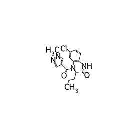 CCCC1C(=O)Nc2ccc(Cl)cc2N1C(=O)c1cnn(C)c1